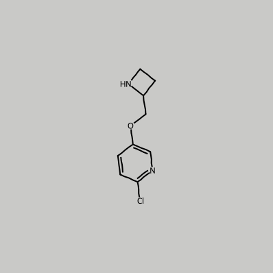 Clc1ccc(OCC2CCN2)cn1